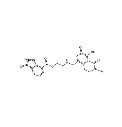 CC(C)N1CCn2c(CNCCOC(=O)c3cccn4c(=O)[nH]nc34)cc(=O)c(O)c2C1=O